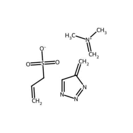 C=C1C=NN=N1.C=CCS(=O)(=O)[O-].C=[N+](C)C